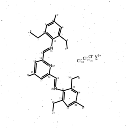 CCc1cc(C)cc(CC)c1N=Cc1cc(C)cc(C=Nc2c(CC)cc(C)cc2CC)n1.[Cl-].[Cl-].[Cl-].[V+3]